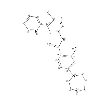 O=C(Nc1ccc(Cl)c(-c2ccccn2)c1)c1ccc(N2CCCNCC2)cc1Cl